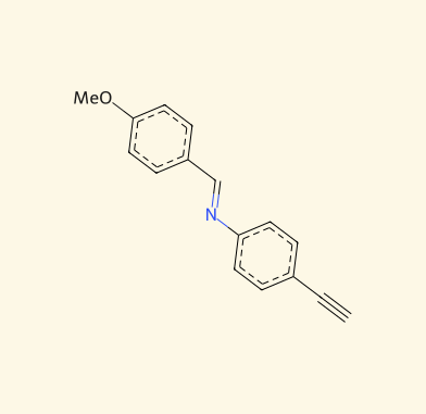 C#Cc1ccc(N=Cc2ccc(OC)cc2)cc1